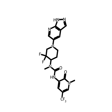 CN(C(=O)Nc1cc(C(F)(F)F)cn(C)c1=O)C1CCN(c2cnc3[nH]ncc3c2)CC1(F)F